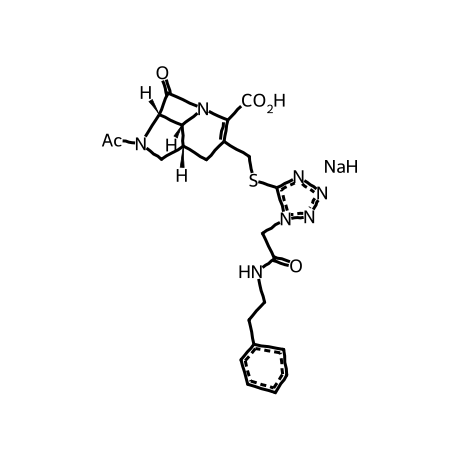 CC(=O)N1C[C@H]2CC(CSc3nnnn3CC(=O)NCCc3ccccc3)=C(C(=O)O)N3C(=O)[C@@H]1[C@@H]23.[NaH]